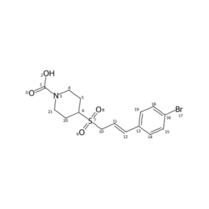 O=C(O)N1CCC(S(=O)(=O)CC=Cc2ccc(Br)cc2)CC1